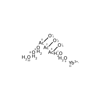 CC(=O)[O-].CC(=O)[O-].CC(=O)[O-].O.O.O.O.O.[Yb+3]